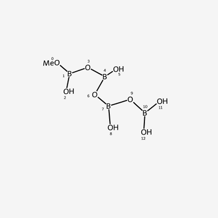 COB(O)OB(O)OB(O)OB(O)O